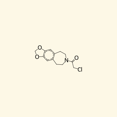 O=C(CCl)N1CCc2cc3c(cc2CC1)OCO3